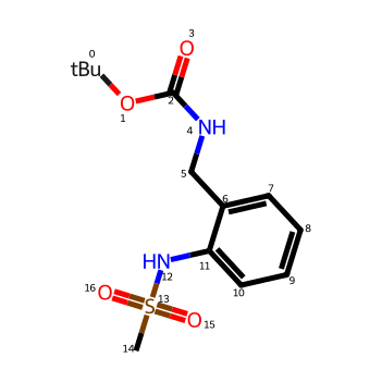 CC(C)(C)OC(=O)NCc1ccccc1NS(C)(=O)=O